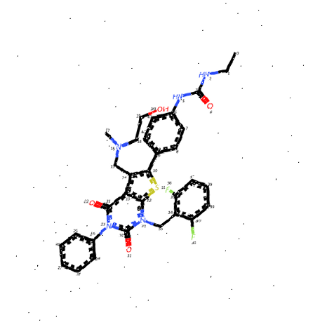 CCNC(=O)Nc1ccc(-c2sc3c(c2CN(C)CCO)c(=O)n(-c2ccccc2)c(=O)n3Cc2c(F)cccc2F)cc1